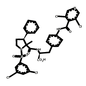 CC1(C(=O)N[C@@H](Cc2ccc(NC(=O)c3c(Cl)cncc3Cl)cc2)C(=O)O)[C@H](c2ccccc2)CCN1S(=O)(=O)c1cc(Cl)cc(Cl)c1